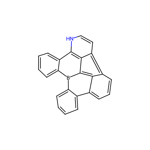 c1ccc2c(c1)B1c3ccccc3-c3cccc4c5cc[nH]c-2c-5c1c34